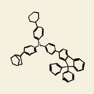 c1ccc(C2(c3ccccc3)c3ccccc3-c3ccc(-c4ccc(N(c5ccc(C6CCCCC6)cc5)c5ccc(C6CC7CCC6C7)cc5)cc4)cc32)cc1